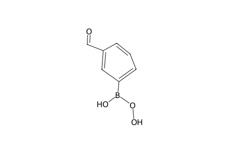 O=Cc1cccc(B(O)OO)c1